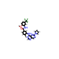 COc1ccc(C(F)(F)F)cc1NC(=O)c1ccc(C)c(Nc2ncnc3cnc(N4CCCC4)nc23)c1